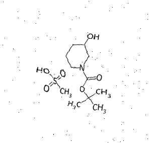 CC(C)(C)OC(=O)N1CCCC(O)C1.CS(=O)(=O)O